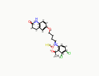 CC(=O)c1c([N+](=CCCCOc2ccc3c(c2)CCC(=O)N3)OS)ccc(Cl)c1Cl